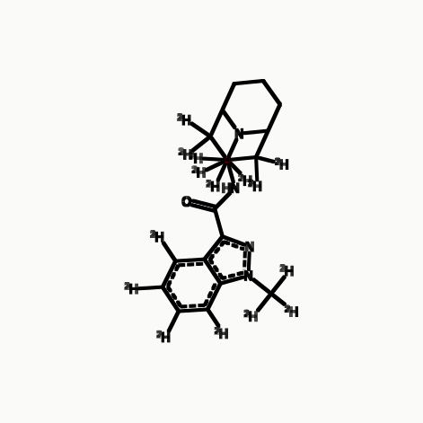 [2H]c1c([2H])c([2H])c2c(c(C(=O)NC3([2H])C([2H])([2H])C4CCCC(N4C([2H])([2H])[2H])C3([2H])[2H])nn2C([2H])([2H])[2H])c1[2H]